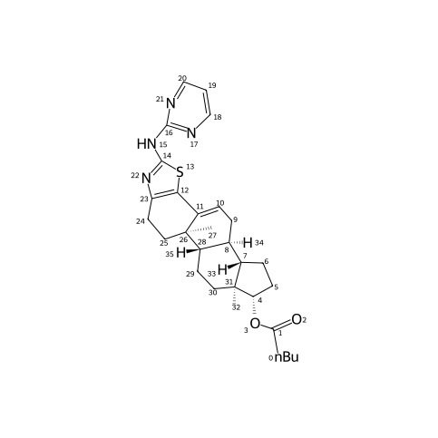 CCCCC(=O)O[C@H]1CC[C@H]2[C@@H]3CC=C4c5sc(Nc6ncccn6)nc5CC[C@]4(C)[C@H]3CC[C@]12C